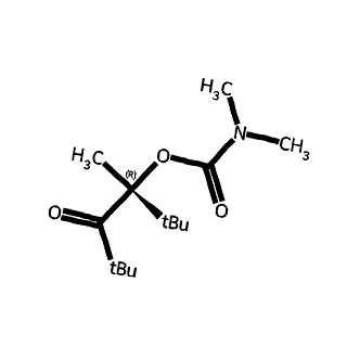 CN(C)C(=O)O[C@@](C)(C(=O)C(C)(C)C)C(C)(C)C